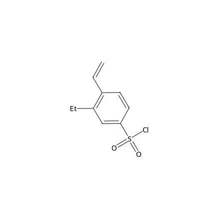 C=Cc1ccc(S(=O)(=O)Cl)cc1CC